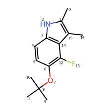 Cc1[nH]c2ccc(OC(C)(C)C)c(F)c2c1C